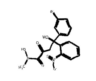 CN(O)C(=O)C(=O)CC(O)(c1cccc(Br)c1)c1ccccc1[N+](=O)[O-]